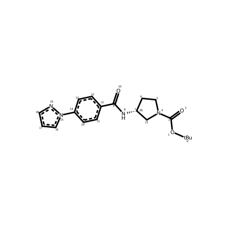 CC(C)(C)OC(=O)N1CC[C@@H](NC(=O)c2ccc(-n3cccn3)cc2)C1